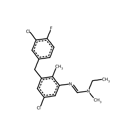 CCN(C)C=Nc1cc(Cl)cc(Cc2ccc(F)c(Cl)c2)c1C